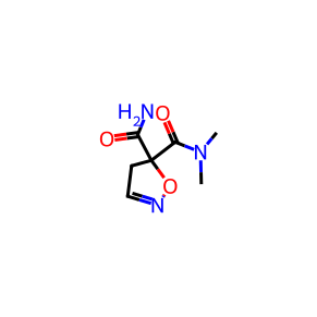 CN(C)C(=O)C1(C(N)=O)CC=NO1